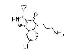 NCCCn1c(=O)c2c(C3CC3)[nH]nc2c2cc(Cl)ccc21